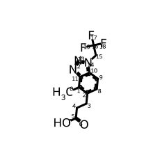 Cc1c(CCC(=O)O)ccc2c1nnn2CC(F)(F)F